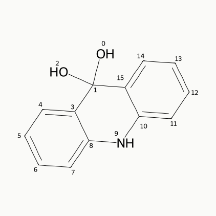 OC1(O)c2ccccc2Nc2ccccc21